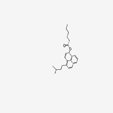 CCCCCC(=O)OC1C=Cc2c(CCC(C)C)ccc3cccc1c23